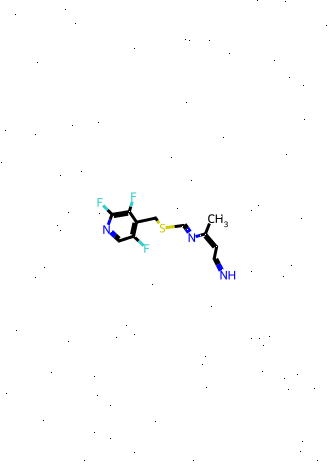 CC(=C/C=N)/N=C/SCc1c(F)cnc(F)c1F